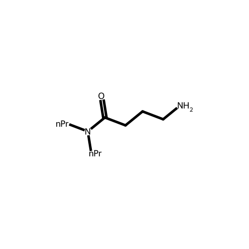 CCCN(CCC)C(=O)CCCN